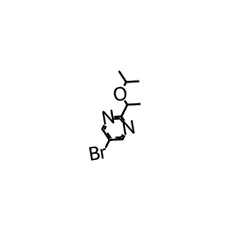 CC(C)OC(C)c1ncc(Br)cn1